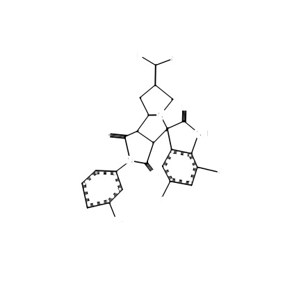 O=C1C2C3CC(C(F)F)CN3C3(C(=O)Nc4c(Cl)cc(Cl)cc43)C2C(=O)N1c1cccc(C(F)(F)F)c1